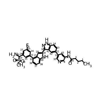 CCCCC(=O)Nc1cncc(-c2ccc3[nH]nc(-c4cc5c(-c6cc(F)cc(C(N)S(C)(=O)=O)c6)cccc5[nH]4)c3c2)c1